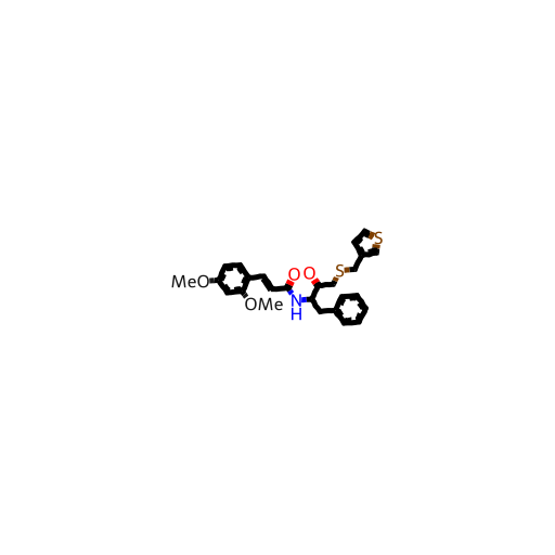 COc1ccc(C=CC(=O)NC(Cc2ccccc2)C(=O)CSCc2ccsc2)c(OC)c1